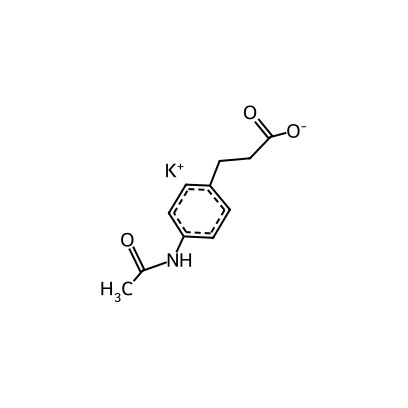 CC(=O)Nc1ccc(CCC(=O)[O-])cc1.[K+]